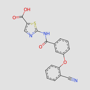 N#Cc1ccccc1Oc1cccc(C(=O)Nc2ncc(C(=O)O)s2)c1